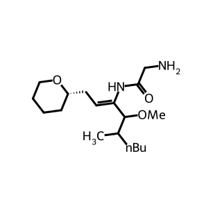 CCCCC(C)C(OC)C(=CC[C@@H]1CCCCO1)NC(=O)CN